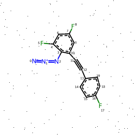 [N-]=[N+]=Nc1c(F)cc(F)cc1C#Cc1ccc(F)cc1